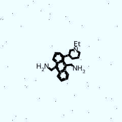 CCN1CCCC(c2cccc3c(CN)c4ccccc4c(CN)c23)C1